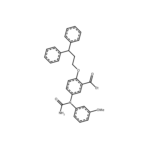 CCC(=O)c1cc(N(C(N)=O)c2cccc(OC)c2)ccc1OCCC(c1ccccc1)c1ccccc1